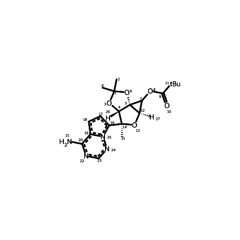 CC1(C)O[C@@H]2[C@@]3(O1)C(OC(=O)C(C)(C)C)[C@H]3O[C@@]2(C)c1ccc2c(N)ncnn12